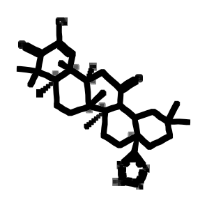 CC1(C)CC[C@]2(c3nn[nH]n3)CC[C@]3(C)C(C(=O)C[C@@H]4[C@@]5(C)C=C(C#N)C(=O)C(C)(C)[C@@H]5CC[C@]43C)C2C1